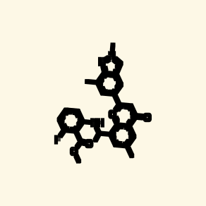 COC(=O)c1c(F)cccc1NC(C)c1cc(C)cc2c(=O)cc(-c3cc(C)c4nn(C)cc4c3)oc12